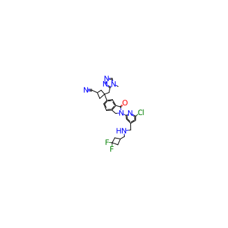 Cn1cnnc1CC1(c2ccc3c(c2)C(=O)N(c2cc(CNCC4CC(F)(F)C4)cc(Cl)n2)C3)CC(C#N)C1